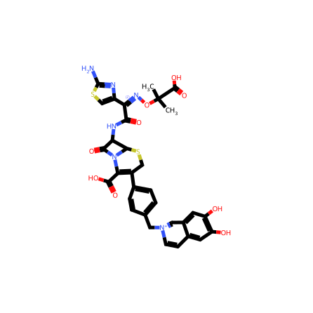 CC(C)(O/N=C(\C(=O)NC1C(=O)N2C(C(=O)O)=C(c3ccc(C[n+]4ccc5cc(O)c(O)cc5c4)cc3)CSC12)c1csc(N)n1)C(=O)O